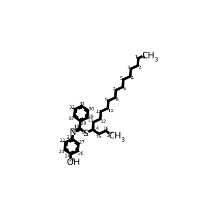 CCCCCCCCCCCCCCC(CCC)SC(=Nc1ccc(O)cc1)c1ccccc1